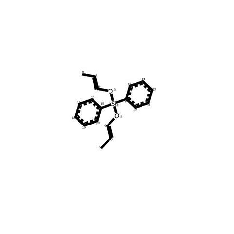 CC=CO[Si](OC=CC)(c1ccccc1)c1ccccc1